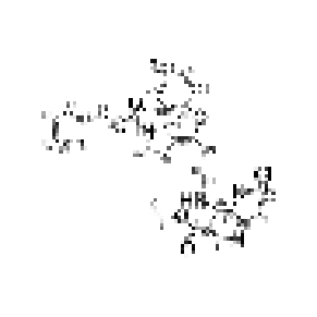 CCOC(=O)c1cnc2ccc(Cl)nc2c1NCCCCOc1ccc(F)cc1C1CCCN1C(=O)OCc1ccccc1